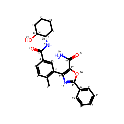 Cc1ccc(C(=O)N[C@H]2CCCC[C@@H]2O)cc1-c1nc(-c2ccccc2)oc1C(N)=O